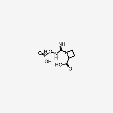 N=C(NO[PH](=O)O)N1CCC1C(=O)O